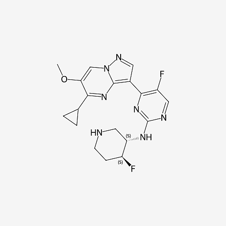 COc1cn2ncc(-c3nc(N[C@H]4CNCC[C@@H]4F)ncc3F)c2nc1C1CC1